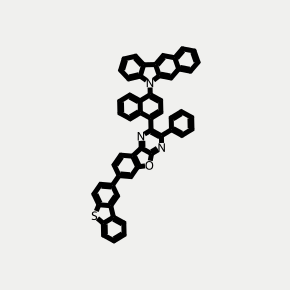 c1ccc(-c2nc3oc4cc(-c5ccc6sc7ccccc7c6c5)ccc4c3nc2-c2ccc(-n3c4ccccc4c4cc5ccccc5cc43)c3ccccc23)cc1